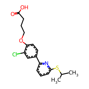 CC(C)Sc1cccc(-c2ccc(OCCCC(=O)O)c(Cl)c2)n1